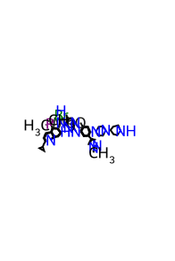 COc1cc(N2CCN(C3CCNCC3)CC2)c(-c2cnn(C)c2)cc1Nc1ncc(Br)c(Nc2ccc3nc(C4CC4)ccc3c2P(C)C)n1